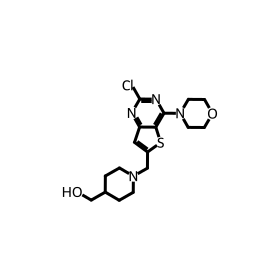 OCC1CCN(Cc2cc3nc(Cl)nc(N4CCOCC4)c3s2)CC1